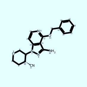 N#C[C@@H]1CCOCC1n1nc(N)c2c(OCc3ccccc3)nccc21